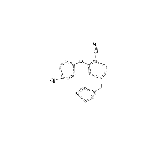 N#Cc1ccc(Cn2ccnc2)cc1Oc1ccc(Cl)cc1